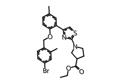 CCOC(=O)C1CCN(c2nc(-c3cc(C)ccc3OCc3ccc(Br)cc3C)cs2)C1